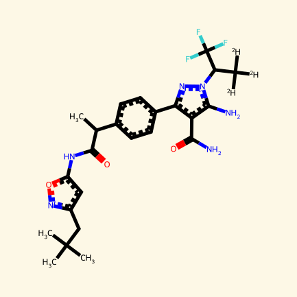 [2H]C([2H])([2H])C(n1nc(-c2ccc(C(C)C(=O)Nc3cc(CC(C)(C)C)no3)cc2)c(C(N)=O)c1N)C(F)(F)F